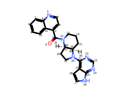 O=C(c1ccnc2ccccc12)N1CCC[C@@H]2[C@H]1CCN2c1ncnc2[nH]ccc12